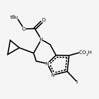 CC(C)(C)OC(=O)N1Cc2c(C(=O)O)c(I)nn2CC1C1CC1